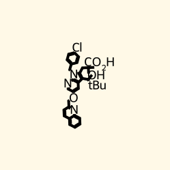 CC(C)(Cc1c(C(O)C(C)(C)C)c2cc(OCc3ccc4ccccc4n3)cnc2n1Cc1ccc(Cl)cc1)C(=O)O